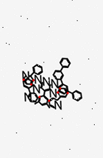 Cc1cc(C)cc(-c2c(-n3c4ccccc4c4ncccc43)c(-n3c4ccc(-c5ccccc5)cc4c4cc(-c5ccccc5)ccc43)nc(-n3c4ccccc4c4ncccc43)c2-n2c3ccccc3c3ncccc32)c1